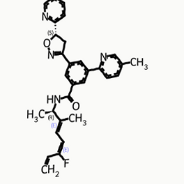 C=C/C(F)=C\C=C(/C)[C@@H](C)NC(=O)c1cc(C2=NO[C@H](c3ccccn3)C2)cc(-c2ccc(C)cn2)c1